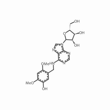 COc1cc(OC)c(CNc2ncnc3c2ncn3C2O[C@H](CO)[C@@H](O)[C@H]2O)cc1O